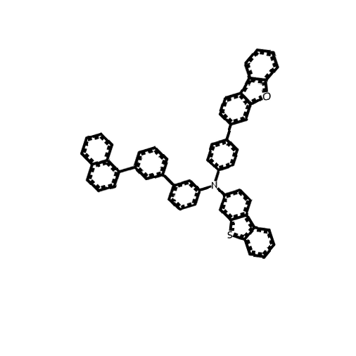 c1cc(-c2cccc(N(c3ccc(-c4ccc5c(c4)oc4ccccc45)cc3)c3ccc4c(c3)sc3ccccc34)c2)cc(-c2cccc3ccccc23)c1